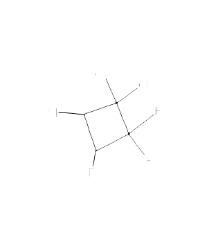 FC1C(Cl)C(Cl)(Cl)C1(F)F